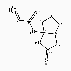 C=CC(=O)OC12CCCC1CC(=O)O2